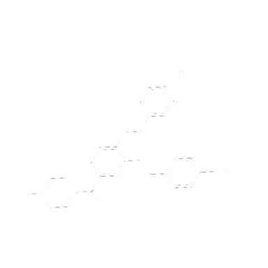 COc1ccc(COc2ccc(C(=O)N3CCN(C)CC3)c(Cl)c2OCc2ccc(OC)cc2)cc1